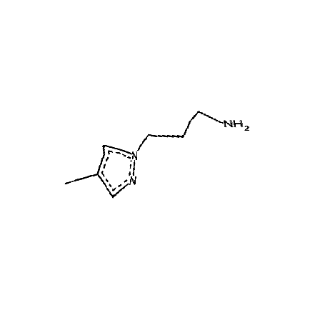 Cc1cnn(CCCN)c1